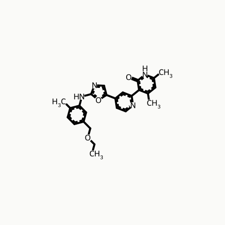 CCOCc1ccc(C)c(Nc2ncc(-c3ccnc(-c4c(C)cc(C)[nH]c4=O)c3)o2)c1